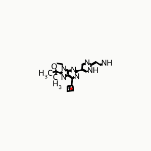 CC1(C)OCCn2c1nc1c(N3CC4CC3C4)nc(C3=CN/C(=C\C=N)N=C3)nc12